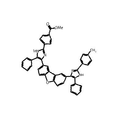 COC(=O)c1ccc(-c2nc(-c3ccc4oc5ccc(-c6nc(-c7ccc(C)cc7)[nH]c6-c6ccccc6)cc5c4c3)c(-c3ccccc3)[nH]2)cc1